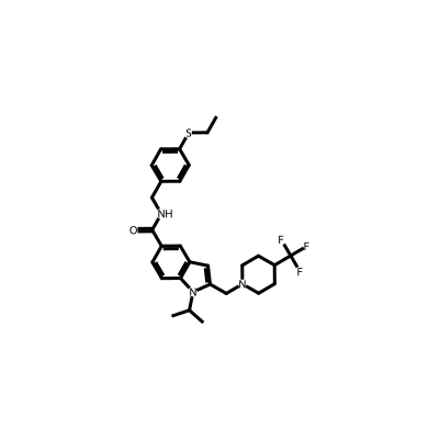 CCSc1ccc(CNC(=O)c2ccc3c(c2)cc(CN2CCC(C(F)(F)F)CC2)n3C(C)C)cc1